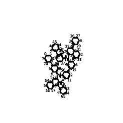 c1ccc(-c2ccc(N(c3cccc(-c4cccc(N(c5ccc(-c6ccccc6)c6ccccc56)c5cccc6c5sc5ccccc56)c4)c3)c3cc4ccccc4c4c3sc3ccccc34)cc2)cc1